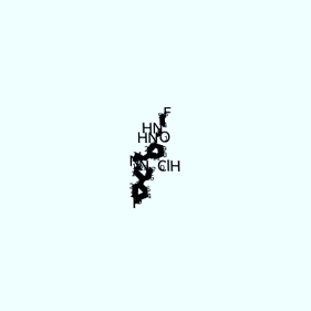 Cl.O=C(NCCF)Nc1cccc(-c2cnc3cc(-c4ccc(F)cc4)ccn23)c1